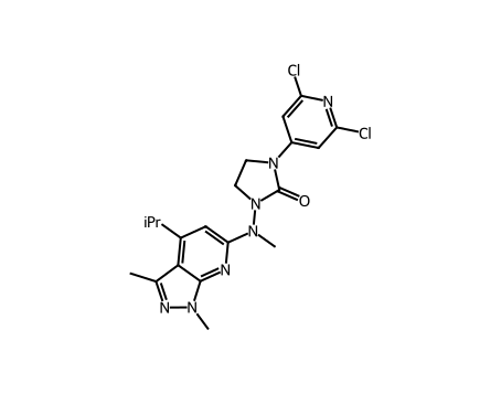 Cc1nn(C)c2nc(N(C)N3CCN(c4cc(Cl)nc(Cl)c4)C3=O)cc(C(C)C)c12